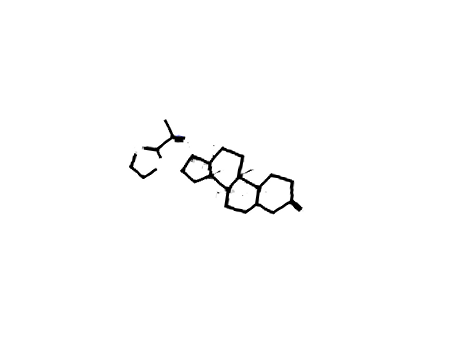 C/C(=C/[C@H]1CC[C@@]2(O)[C@@H]3CCC4CC(=O)CC[C@]4(C)[C@H]3CC[C@]12C)C1OCCO1